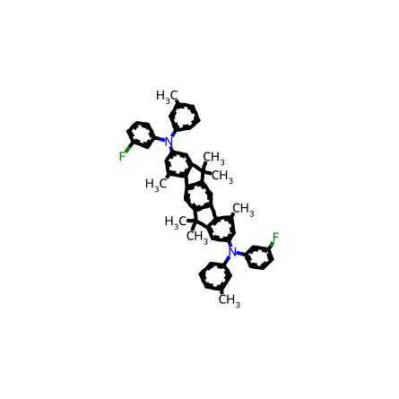 Cc1cccc(N(c2cccc(F)c2)c2cc(C)c3c(c2)C(C)(C)c2cc4c(cc2-3)C(C)(C)c2cc(N(c3cccc(C)c3)c3cccc(F)c3)cc(C)c2-4)c1